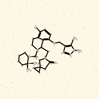 Cc1c(COc2ccc(Cl)c3c2C(CN2CC4(CC4)CC2=O)N(C(=O)[C@@H]2CCCC[C@]2(C)C(=O)O)CC3)nnn1C